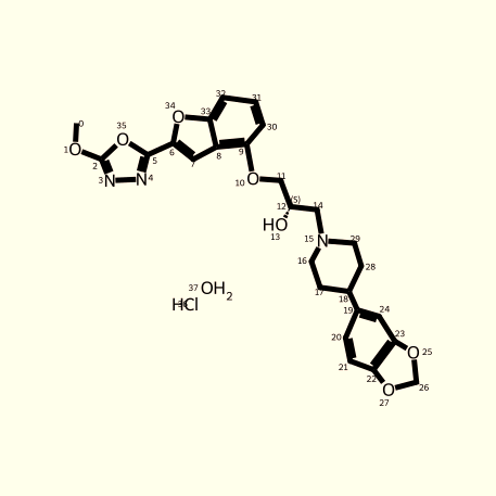 COc1nnc(-c2cc3c(OC[C@@H](O)CN4CCC(c5ccc6c(c5)OCO6)CC4)cccc3o2)o1.Cl.O